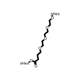 CCCCCCOCCOCCOCCOCCCC(=O)OCCCCCC